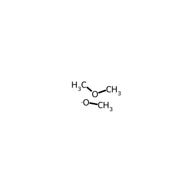 COC.C[O]